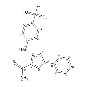 CS(=O)(=O)c1ccc([AsH]c2nn(-c3ccccc3)cc2C(N)=O)cc1